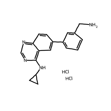 Cl.Cl.NCc1cccc(-c2ccc3ncnc(NC4CC4)c3c2)c1